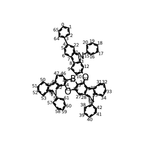 c1ccc(-c2ccc3c4cc5c(cc4n(-c4ccccc4)c3c2)Oc2c3c(cc4c2c2ccccc2n4-c2ccccc2)Oc2c(ccc4c6ccccc6n(-c6ccccc6)c24)B53)cc1